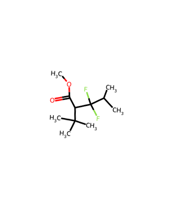 COC(=O)C(C(C)(C)C)C(F)(F)C(C)C